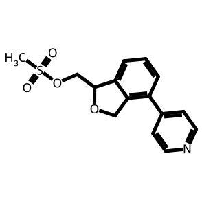 CS(=O)(=O)OCC1OCc2c(-c3ccncc3)cccc21